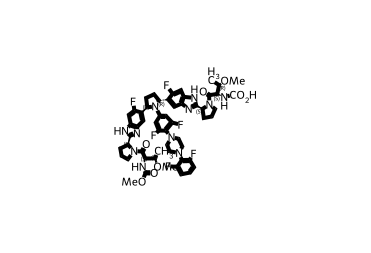 COC(=O)N[C@H](C(=O)N1CCC[C@H]1c1nc2cc([C@H]3CC[C@H](c4cc5nc([C@@H]6CCCN6C(=O)[C@@H](NC(=O)O)[C@@H](C)OC)[nH]c5cc4F)N3c3cc(F)c(N4CCN(c5c(F)cccc5F)CC4)c(F)c3)c(F)cc2[nH]1)[C@@H](C)OC